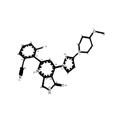 COC1CCN(c2ccn(-c3cc(-c4c(F)cccc4C#N)nc4c3C(=O)NC4)n2)CC1